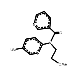 COCCN(C(=O)c1cccnc1)c1ccc(C(C)(C)C)cn1